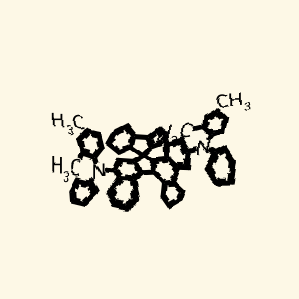 Cc1ccc(N(c2ccccc2)c2ccc3c4c(c5ccccc5c3c2)-c2c(cc(N(c3ccccc3)c3ccc(C)cc3C)c3ccccc23)C42c3ccccc3-c3ccccc32)c(C)c1